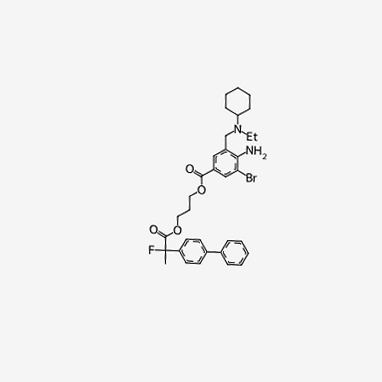 CCN(Cc1cc(C(=O)OCCCOC(=O)C(C)(F)c2ccc(-c3ccccc3)cc2)cc(Br)c1N)C1CCCCC1